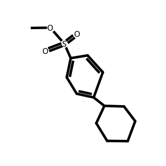 COS(=O)(=O)c1ccc(C2CCCCC2)cc1